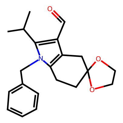 CC(C)c1c(C=O)c2c(n1Cc1ccccc1)CCC1(C2)OCCO1